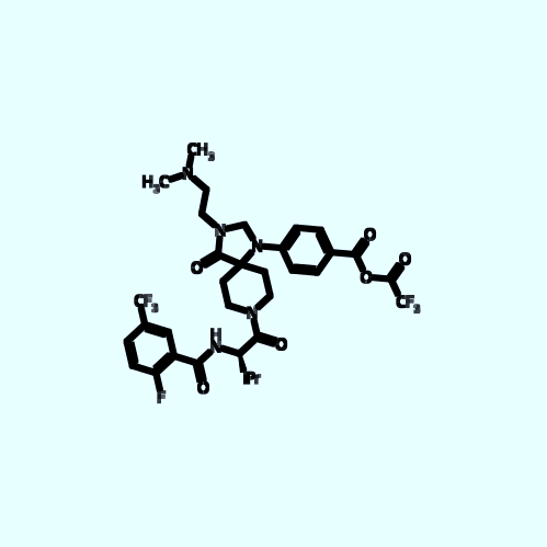 CC(C)[C@@H](NC(=O)c1cc(C(F)(F)F)ccc1F)C(=O)N1CCC2(CC1)C(=O)N(CCN(C)C)CN2c1ccc(C(=O)OC(=O)C(F)(F)F)cc1